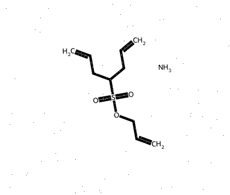 C=CCOS(=O)(=O)C(CC=C)CC=C.N